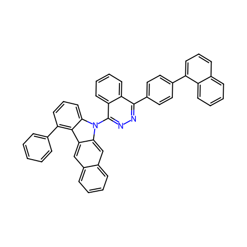 c1ccc(-c2cccc3c2c2cc4ccccc4cc2n3-c2nnc(-c3ccc(-c4cccc5ccccc45)cc3)c3ccccc23)cc1